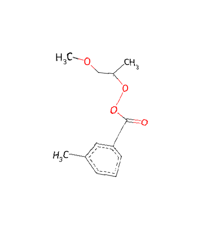 COC[C](C)OOC(=O)c1cccc(C)c1